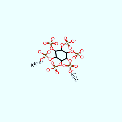 O=S(=O)([O-])OC1C(OS(=O)(=O)[O-])C(OS(=O)(=O)[O-])C(OS(=O)(=O)[O-])C(OS(=O)(=O)[O-])C1OS(=O)(=O)[O-].[K+].[K+].[K+].[K+].[K+].[K+]